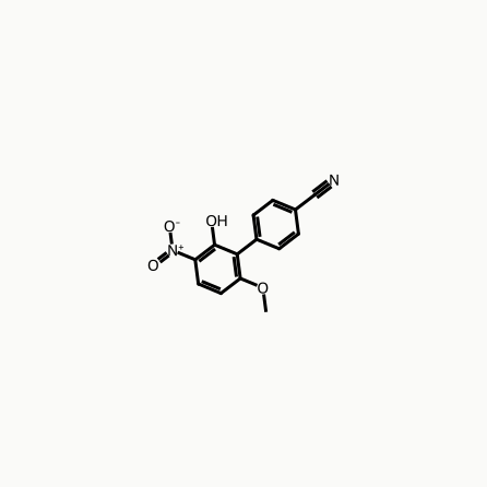 COc1ccc([N+](=O)[O-])c(O)c1-c1ccc(C#N)cc1